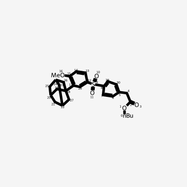 CCCCOC(=O)Cc1ccc(S(=O)(=O)c2ccc(OC)c(C34CC5CC(CC(C5)C3)C4)c2)cc1